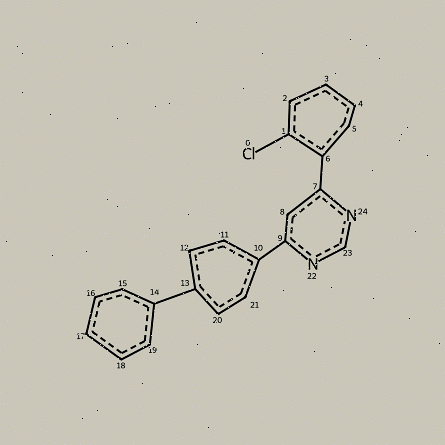 Clc1ccccc1-c1cc(-c2ccc(-c3ccccc3)cc2)ncn1